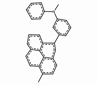 Cc1ccc2cc(-c3cccc(N(C)c4ccccc4)c3)c3cccc4ccc1c2c43